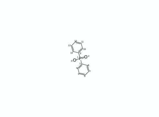 [O]P(=O)(c1ccccc1)c1ccccc1